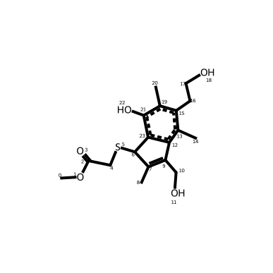 COC(=O)CSC1C(C)=C(CO)c2c(C)c(CCO)c(C)c(O)c21